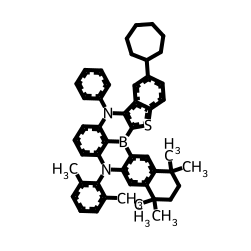 Cc1cccc(C)c1N1c2cc3c(cc2B2c4sc5ccc(C6CCCCCC6)cc5c4N(c4ccccc4)c4cccc1c42)C(C)(C)CCC3(C)C